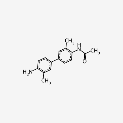 CC(=O)Nc1ccc(-c2ccc(N)c(C)c2)cc1C